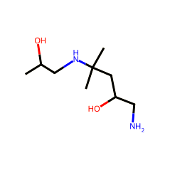 CC(O)CNC(C)(C)CC(O)CN